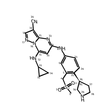 CS(=O)(=O)Cc1cc(Nc2cc(NC3CC3)n3ncc(C#N)c3n2)ccc1[C@H]1CCNC1